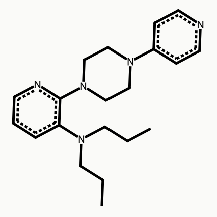 CCCN(CCC)c1cccnc1N1CCN(c2ccncc2)CC1